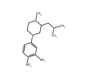 CN(C)CC1CN(c2ccc([N+](=O)[O-])c(N)c2)CCN1C